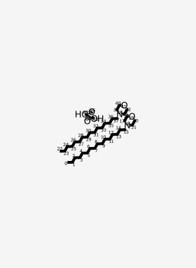 CCCCCCCCCCCCCCCCN1CCOCC1.CCCCCCCCCCCCCCCCN1CCOCC1.O=S(=O)(O)O